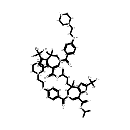 CC(C)OC(=O)C1=CN(C(=O)c2ccc(OCCN3CCOCC3)cc2)CC(C)(CCC(C)OC(=O)C2=CN(C(=O)c3ccc(OCCN4CCOCC4)cc3)CC(C)(C)c3c(C(F)(F)F)coc32)c2cc(C(F)(F)F)oc21